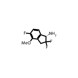 COc1c(F)ccc2c1CC(F)(F)[C@H]2N